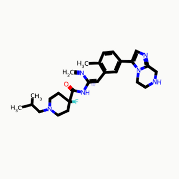 C=N/C(=C\c1cc(-c2cnc3n2CCNC3)ccc1C)NC(=O)C1(F)CCN(CC(C)C)CC1